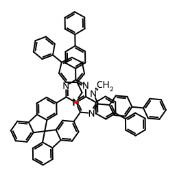 C=N/C(=N\C(=N/CC1=CCC=C(c2ccccc2)C=C1)c1ccc2c(c1)C1(c3ccccc3-2)c2ccccc2-c2ccc(-c3nc(-c4ccc(-c5ccccc5)cc4)nc(-c4ccc(-c5ccccc5)cc4)n3)cc21)c1ccc(-c2ccccc2)cc1